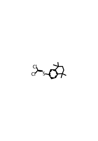 CC1(C)CCC(C)(C)c2cc(SC=C(Cl)Cl)ccc21